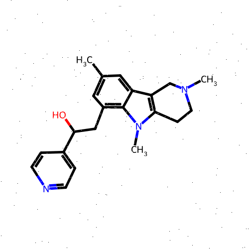 Cc1cc(CC(O)c2ccncc2)c2c(c1)c1c(n2C)CCN(C)C1